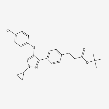 CC(C)(C)OC(=O)CCc1ccc(-c2nn(C3CC3)cc2Sc2ccc(Cl)cc2)cc1